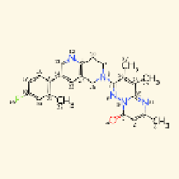 Cc1cc(=O)n2nc(N3CCc4ncc(-c5ccc(F)cc5C)cc4C3)c(C)c(C)c2n1